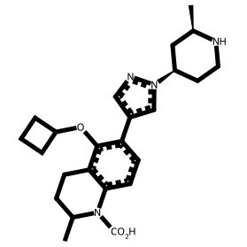 CC1CCc2c(ccc(-c3cnn([C@@H]4CCN[C@H](C)C4)c3)c2OC2CCC2)N1C(=O)O